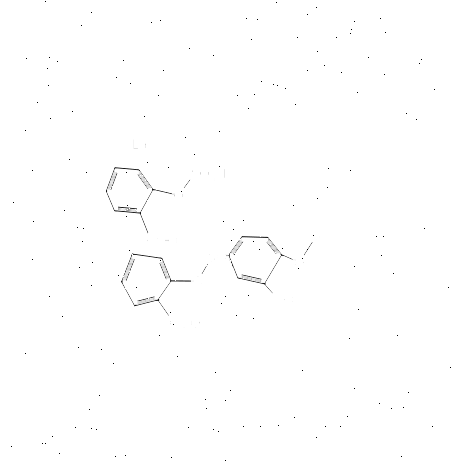 O=C([O-])c1ccccc1OS(=O)(=O)O.O=C([O-])c1ccccc1OS(=O)(=O)O.O=C([O-])c1ccccc1OS(=O)(=O)O.[La+3]